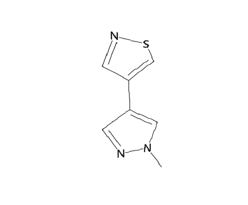 Cn1cc(-c2cnsc2)cn1